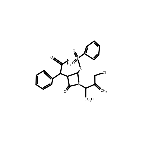 C=C(CCl)C(C(=O)O)N1C(=O)C(C(C(N)=O)c2ccccc2)C1SS(=O)(=O)c1ccccc1